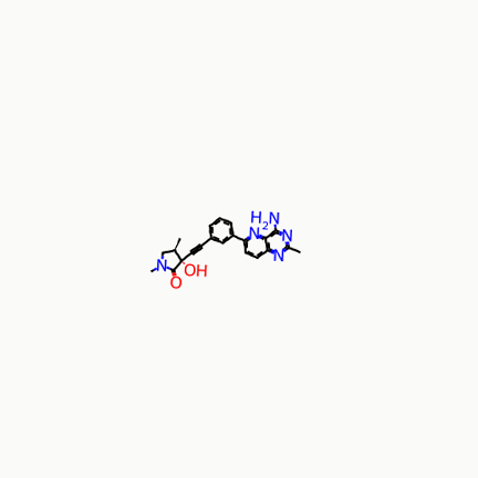 Cc1nc(N)c2nc(-c3cccc(C#C[C@@]4(O)C(=O)N(C)C[C@H]4C)c3)ccc2n1